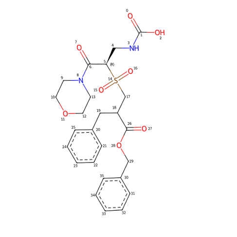 O=C(O)NC[C@H](C(=O)N1CCOCC1)S(=O)(=O)CC(Cc1ccccc1)C(=O)OCc1ccccc1